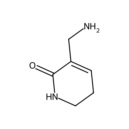 NCC1=CCCNC1=O